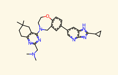 CN(C)Cc1nc2c(c(N3CCOc4ccc(-c5cnc6nc(C7CC7)[nH]c6c5)cc4C3)n1)CC(C)(C)CC2